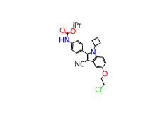 CC(C)OC(=O)Nc1ccc(-c2c(C#N)c3cc(OCCCl)ccc3n2C2CCC2)cc1